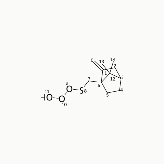 C=C1CC2CCC1(CSOOO)C2(C)C